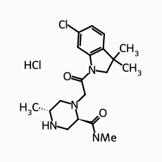 CNC(=O)[C@H]1CN[C@H](C)CN1CC(=O)N1CC(C)(C)c2ccc(Cl)cc21.Cl